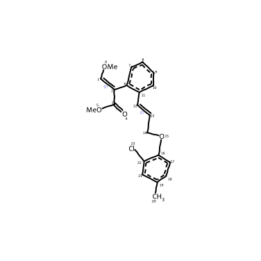 CO/C=C(/C(=O)OC)c1ccccc1/C=C/COc1ccc(C)cc1Cl